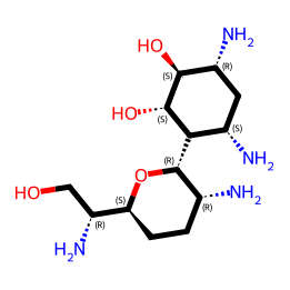 N[C@@H]1C[C@H](N)C([C@H]2O[C@H]([C@H](N)CO)CC[C@H]2N)[C@H](O)[C@H]1O